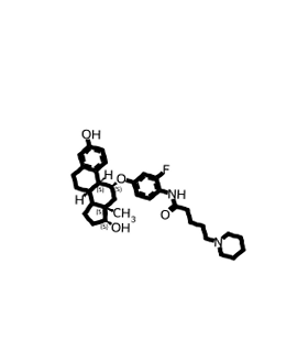 C[C@]12C[C@H](Oc3ccc(NC(=O)CCCCN4CCCCC4)c(F)c3)[C@@H]3c4ccc(O)cc4CC[C@H]3C1CC[C@@H]2O